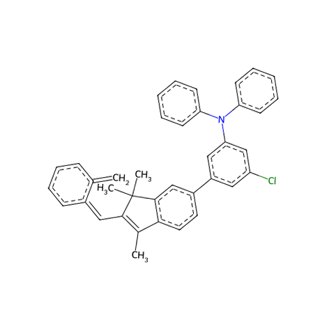 C=c1cccc/c1=C/C1=C(C)c2ccc(-c3cc(Cl)cc(N(c4ccccc4)c4ccccc4)c3)cc2C1(C)C